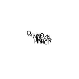 CN(C)c1nccc(-c2n[nH]c3nc(N4CCC5(CCOC5)CC4)n(C)c(=O)c23)c1Cl